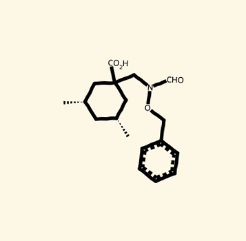 C[C@@H]1C[C@H](C)CC(CN(C=O)OCc2ccccc2)(C(=O)O)C1